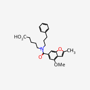 COc1cc(C(=O)N(CCCCC(=O)O)CCCc2ccccc2)cc2oc(C)cc12